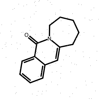 O=c1c2ccccc2cc2n1CCCCC2